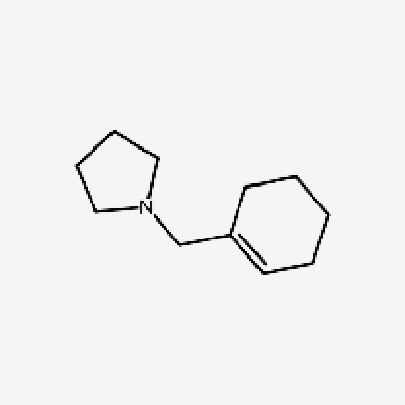 C1=C(CN2CCCC2)CCCC1